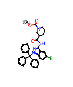 CC(C)(C)OC(=O)N1CCCC(C(=O)Nc2nn(C(c3ccccc3)(c3ccccc3)c3ccccc3)c3ccc(Br)cc23)C1